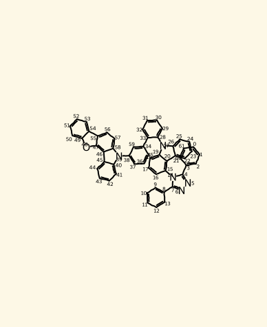 c1ccc(-c2nnc(-c3ccccc3)n2-c2cccc3c2c2ccccc2n3-c2ccccc2-c2cccc(-n3c4ccccc4c4c5oc6ccccc6c5ccc43)c2)cc1